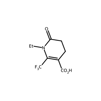 CCN1C(=O)CCC(C(=O)O)=C1C(F)(F)F